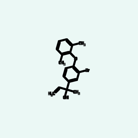 C=CC(C)(O)c1ccc(Oc2c(C)cccc2C)c(Br)c1